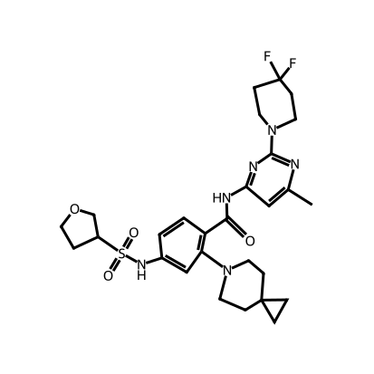 Cc1cc(NC(=O)c2ccc(NS(=O)(=O)C3CCOC3)cc2N2CCC3(CC2)CC3)nc(N2CCC(F)(F)CC2)n1